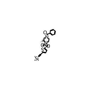 C[C@@H]1CN(C(=O)c2ccccc2)CCN1S(=O)(=O)c1ccc(C#C[Si](C)(C)C)s1